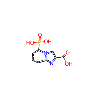 O=C(O)c1cn2c(P(=O)(O)O)cccc2n1